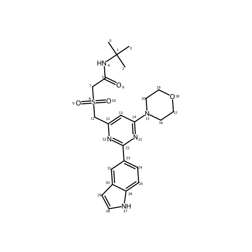 CC(C)(C)NC(=O)CS(=O)(=O)Cc1cc(N2CCOCC2)nc(-c2ccc3[nH]ccc3c2)n1